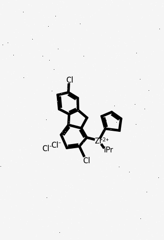 C[CH](C)[Zr+2]([C]1=CC=CC1)[c]1c(Cl)ccc2c1Cc1cc(Cl)ccc1-2.[Cl-].[Cl-]